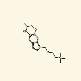 CC1COc2nc3c(ccn3COCC[Si](C)(C)C)cc2N1